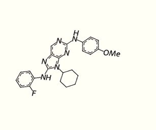 COc1ccc(Nc2ncc3nc(Nc4ccccc4F)n(C4CCCCC4)c3n2)cc1